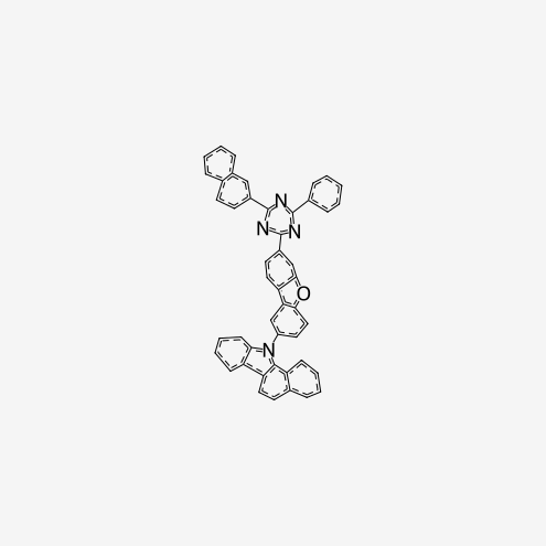 c1ccc(-c2nc(-c3ccc4ccccc4c3)nc(-c3ccc4c(c3)oc3ccc(-n5c6ccccc6c6ccc7ccccc7c65)cc34)n2)cc1